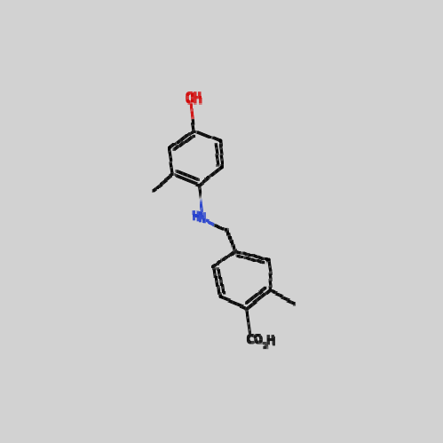 Cc1cc(O)ccc1NCc1ccc(C(=O)O)c(C)c1